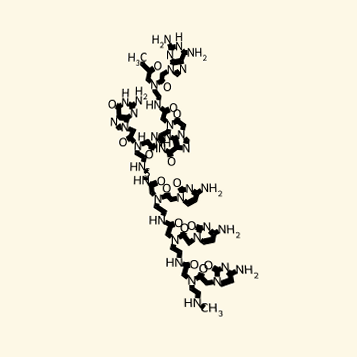 CCC(=O)CN(CCNC(=O)CN(CCNC(=O)CN(CCNSNC(=O)CN(CCNC(=O)CN(CCNC(=O)CN(CCNC)C(=O)Cn1ccc(N)nc1=O)C(=O)Cn1ccc(N)nc1=O)C(=O)Cn1ccc(N)nc1=O)C(=O)Cn1cnc2c(=O)[nH]c(N)nc21)C(=O)Cn1cnc2c(=O)[nH]c(N)nc21)C(=O)Cn1cnc2c1N=C(N)NC2N